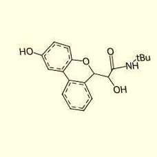 CC(C)(C)NC(=O)C(O)C1Oc2ccc(O)cc2-c2ccccc21